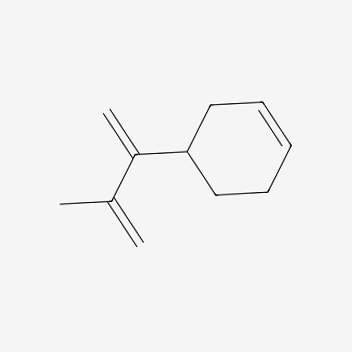 C=C(C)C(=C)C1CC=CCC1